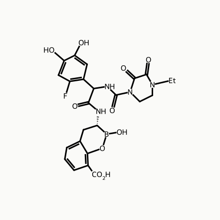 CCN1CCN(C(=O)NC(C(=O)N[C@H]2Cc3cccc(C(=O)O)c3OB2O)c2cc(O)c(O)cc2F)C(=O)C1=O